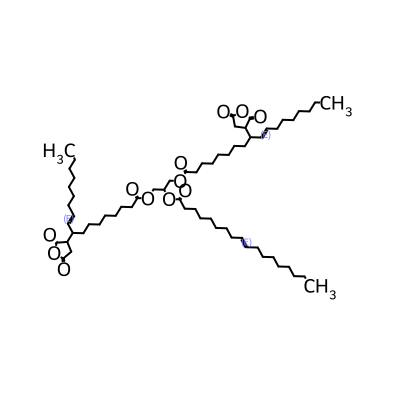 CCCCCCC/C=C/C(CCCCCCCC(=O)OCC(COC(=O)CCCCCCCC(/C=C/CCCCCCC)C1CC(=O)OC1=O)OC(=O)CCCCCCC/C=C/CCCCCCCC)C1CC(=O)OC1=O